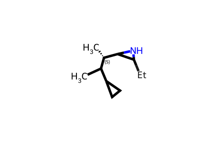 CCC1NC1[C@@H](C)C(C)C1CC1